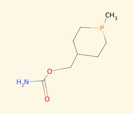 CP1CCC(COC(N)=O)CC1